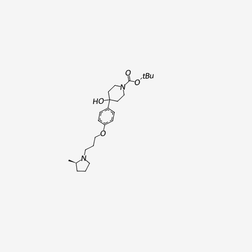 C[C@@H]1CCCN1CCCOc1ccc(C2(O)CCN(C(=O)OC(C)(C)C)CC2)cc1